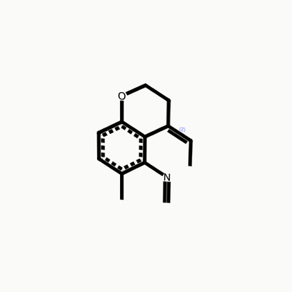 C=Nc1c(C)ccc2c1/C(=C\C)CCO2